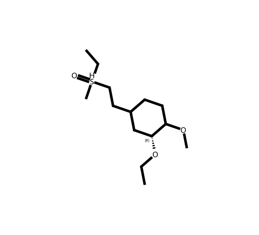 CCO[C@@H]1CC(CC[SH](C)(=O)CC)CCC1OC